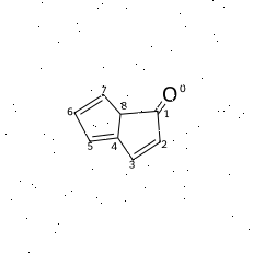 O=C1C=CC2=CC=CC12